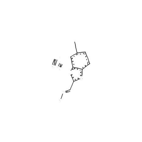 C#N.C#N.NN=Cc1nc2ccc(C(F)(F)F)cc2s1